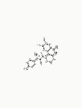 CN(C(=O)[C@@H](N)c1ccc(Cl)cc1)[C@H]1COCc2[nH]c(=O)c3cc(F)c(F)cc3c21